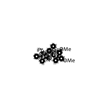 COc1ccc(C(OCC(CO[Si](c2ccccc2)(c2ccccc2)C(C)(C)C)n2cnc3c(-c4ccccc4N(C(=O)O)c4ccccc4)nc(NC(=O)C(C)C)nc32)(c2ccccc2)c2ccc(OC)cc2)cc1